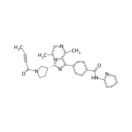 CC#CC(=O)N1CC[C@@H](c2nc(-c3ccc(C(=O)Nc4ccccn4)cc3)c3c(C)ncc(C)n23)C1